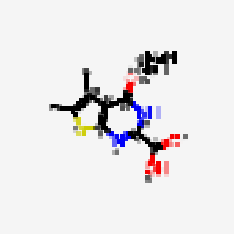 Cc1sc2nc(C(=O)O)[nH]c(=O)c2c1C.[NaH].[NaH]